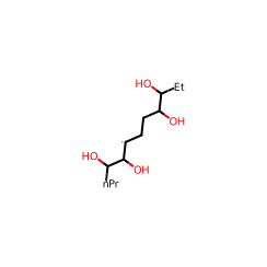 CCCC(O)C(O)[CH]CCC(O)C(O)CC